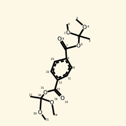 COC(C)(OC)OC(=O)c1ccc(C(=O)OC(C)(OC)OC)cc1